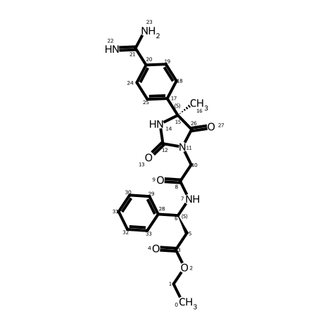 CCOC(=O)C[C@H](NC(=O)CN1C(=O)N[C@@](C)(c2ccc(C(=N)N)cc2)C1=O)c1ccccc1